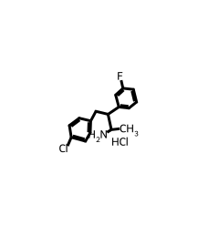 CC(N)C(Cc1ccc(Cl)cc1)c1cccc(F)c1.Cl